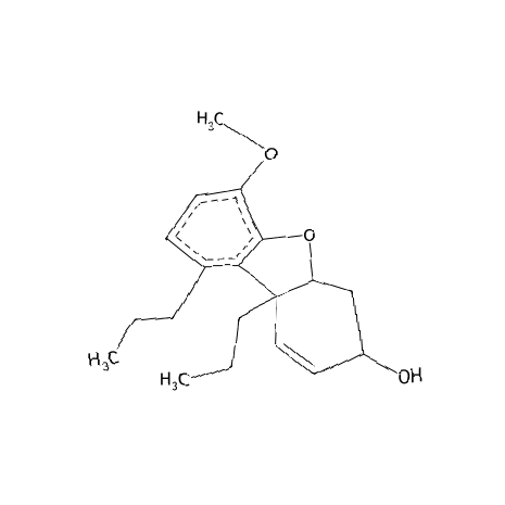 CCCc1ccc(OC)c2c1C1(CCC)C=CC(O)CC1O2